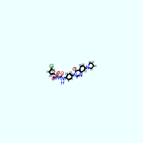 O=C(Nc1ccc(-n2cnc3cc(N4CCCC4)ccc3c2=O)cc1)NS(=O)(=O)c1ccc(Cl)s1